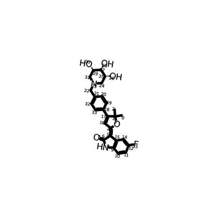 CC1(C)O/C(=C2/C(=O)Nc3ccc(F)cc32)C=C1c1ccc(CN2C[C@@H](O)[C@@H](O)[C@@H](O)C2)cc1